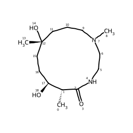 C[C@H]1C(=O)NCCN(C)CCC[C@@](C)(O)CC[C@@H]1O